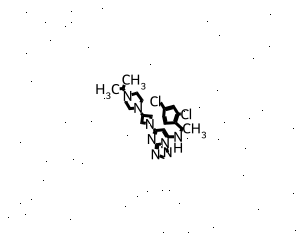 CC(C)N1CCN(C2CN(c3cc(N[C@H](C)c4ccc(Cl)cc4Cl)n4ncnc4n3)C2)CC1